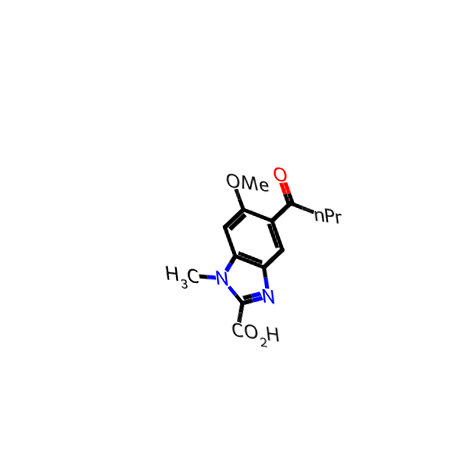 CCCC(=O)c1cc2nc(C(=O)O)n(C)c2cc1OC